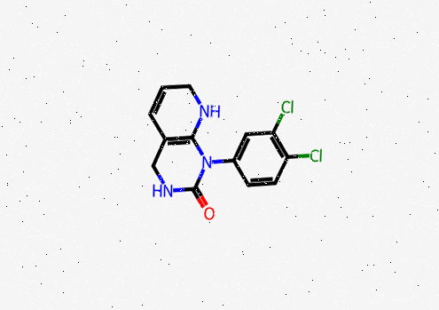 O=C1NCC2=C(NCC=C2)N1c1ccc(Cl)c(Cl)c1